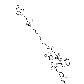 Cc1cc(/C=C2\CN(C(=O)[C@H](Cc3ccccc3)NC(=O)CCCC(=O)NCCCOCCOCCOCCCNC(=O)CCCC[C@@H]3SCC4NC(=O)NC43)C/C(=C\c3ccc(Cl)c(Cl)c3)C2=O)ccc1Cl